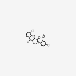 COCc1cc(Cl)ccc1N1CCc2c(oc3c(Cl)cccc3c2=O)C1=O